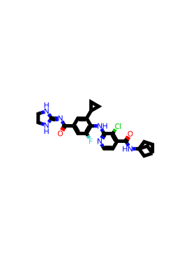 O=C(N=C1NCCN1)c1cc(F)c(Nc2nccc(C(=O)NC34CCC(C3)C4)c2Cl)c(C2CC2)c1